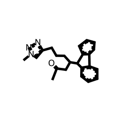 CC(=O)CC(CCCc1cn(C)nn1)C1c2ccccc2-c2ccccc21